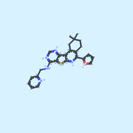 CC1(C)CCc2c(-c3ccco3)nc3sc4c(NCc5ccccn5)ncnc4c3c2C1